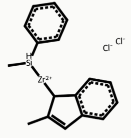 CC1=Cc2ccccc2[CH]1[Zr+2][SiH](C)c1ccccc1.[Cl-].[Cl-]